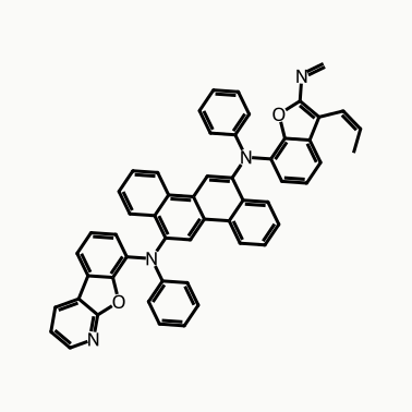 C=Nc1oc2c(N(c3ccccc3)c3cc4c5ccccc5c(N(c5ccccc5)c5cccc6c5oc5ncccc56)cc4c4ccccc34)cccc2c1/C=C\C